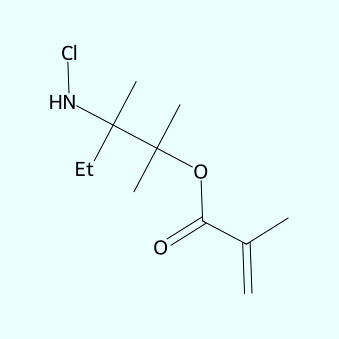 C=C(C)C(=O)OC(C)(C)C(C)(CC)NCl